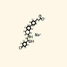 O=C([O-])CCc1ccc(-c2ccc3c(c2)C[C@@H](NC[C@H](O)c2ccc(Cl)cc2)CC3)cc1.[Na+]